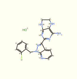 Cl.Nc1nc(-c2nn(Cc3ccccc3F)c3ncccc23)nc2c1NCCN2